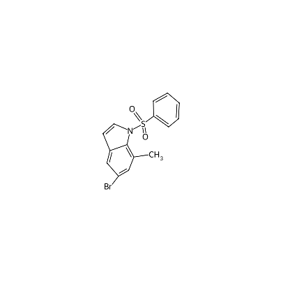 Cc1cc(Br)cc2ccn(S(=O)(=O)c3ccccc3)c12